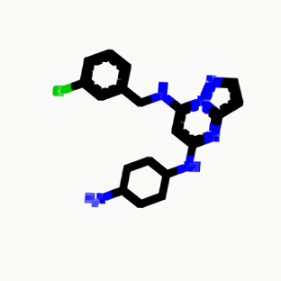 NC1CCC(Nc2cc(NCc3cccc(Cl)c3)n3nccc3n2)CC1